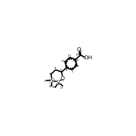 C[Si]1(C)CCC(c2ccc(C(=O)O)cc2)O[Si]1(C)C